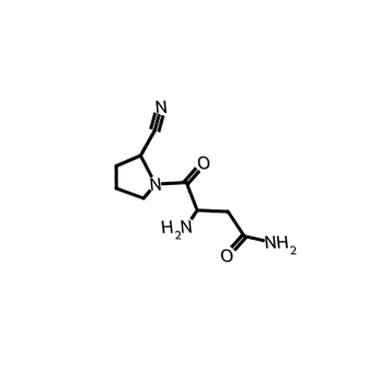 N#CC1CCCN1C(=O)C(N)CC(N)=O